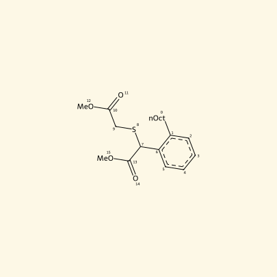 CCCCCCCCc1ccccc1C(SCC(=O)OC)C(=O)OC